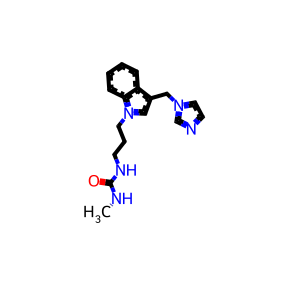 CNC(=O)NCCCn1cc(Cn2ccnc2)c2ccccc21